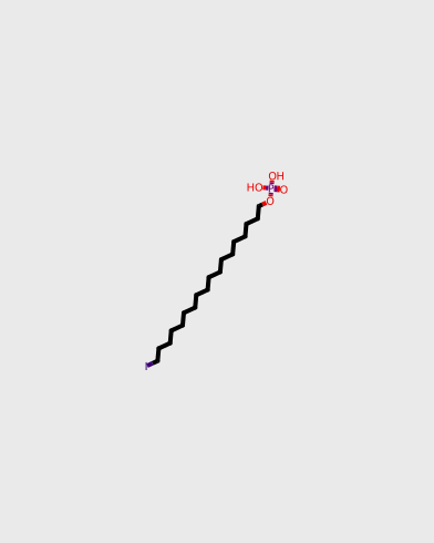 O=P(O)(O)OCCCCCCCCCCCCCCCCCCI